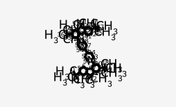 CC(C)(C)c1ccc2c(c1)C(C)(C)c1cc(C(C)(C)C)cc(N3C=CC(=C4C=CN(c5cc(C(C)(C)C)cc6c5-c5ccc(C(C)(C)C)cc5C6(C)C)C=C4)C=C3)c1-2